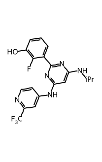 CC(C)Nc1cc(Nc2ccnc(C(F)(F)F)c2)nc(-c2cccc(O)c2F)n1